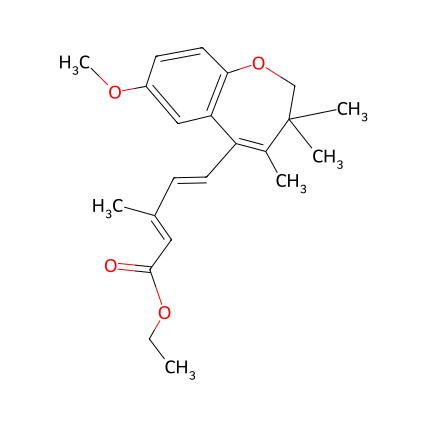 CCOC(=O)C=C(C)C=CC1=C(C)C(C)(C)COc2ccc(OC)cc21